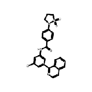 O=C(Nc1cc(Cl)cc(-c2nccc3ccccc23)c1)c1ccc(N2CCCS2(=O)=O)cc1